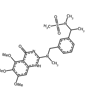 COc1cc2[nH]c(N(C)Cc3cccc(C(C)N(C)S(C)(=O)=O)c3)nc(=O)c2c(OC)c1OC